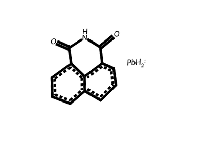 O=C1NC(=O)c2cccc3cccc1c23.[PbH2]